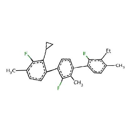 CCc1c(C)ccc(-c2ccc(-c3ccc(C)c(F)c3C3CC3)c(F)c2C)c1F